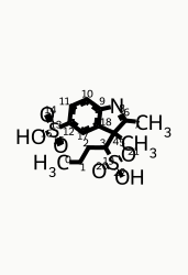 CCCC(C1(C)C(C)=Nc2ccc(S(=O)(=O)O)cc21)S(=O)(=O)O